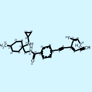 C#C/C=C(C#Cc1ccc(C(=O)NCC2(NC3CC3)CCC(C)CC2)cc1)\C(F)=C/C